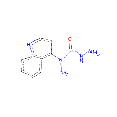 NNC(=O)N(N)c1ccnc2ccccc12